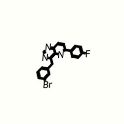 Fc1ccc(-c2ccc3ncnc(Cc4cccc(Br)c4)c3n2)cc1